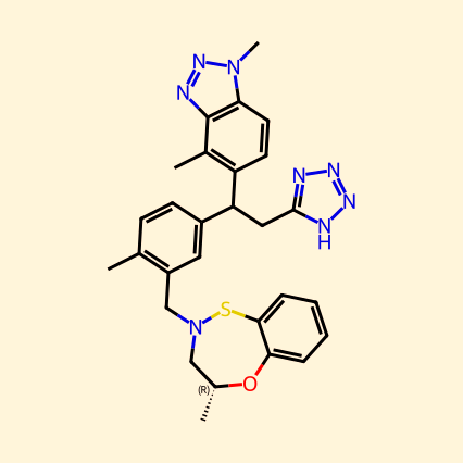 Cc1ccc(C(Cc2nnn[nH]2)c2ccc3c(nnn3C)c2C)cc1CN1C[C@@H](C)Oc2ccccc2S1